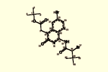 CC(C)(C)OC(=O)Cn1c(=O)nc(NC(=O)C(Br)C(C)(C)C)c2ncc(Br)cc21